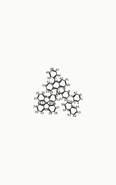 c1ccc(-c2c(-c3cccc(N(c4ccc5c(c4)-c4ccccc4C54c5ccccc5-c5ccccc54)c4c5ccccc5c(-c5ccccc5)c5ccccc45)c3)ccc3ccccc23)cc1